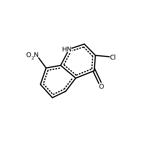 O=c1c(Cl)c[nH]c2c([N+](=O)[O-])cccc12